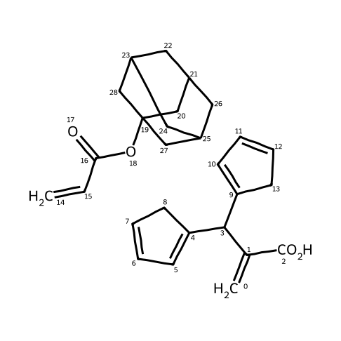 C=C(C(=O)O)C(C1=CC=CC1)C1=CC=CC1.C=CC(=O)OC12CC3CC(CC(C3)C1)C2